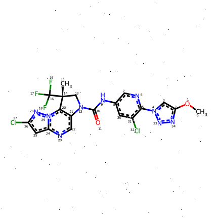 COc1cn(-c2ncc(NC(=O)N3C[C@@](C)(C(F)(F)F)c4c3cnc3cc(Cl)nn43)cc2Cl)nn1